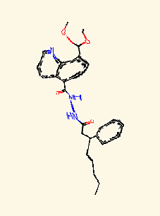 CCCCCC(CC(=O)NNC(=O)c1ccc(C(OC)OC)c2ncccc12)c1ccccc1